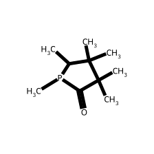 CC1P(C)C(=O)C(C)(C)C1(C)C